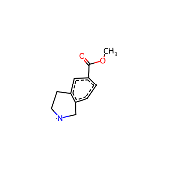 COC(=O)c1ccc2c(c1)CC[N]C2